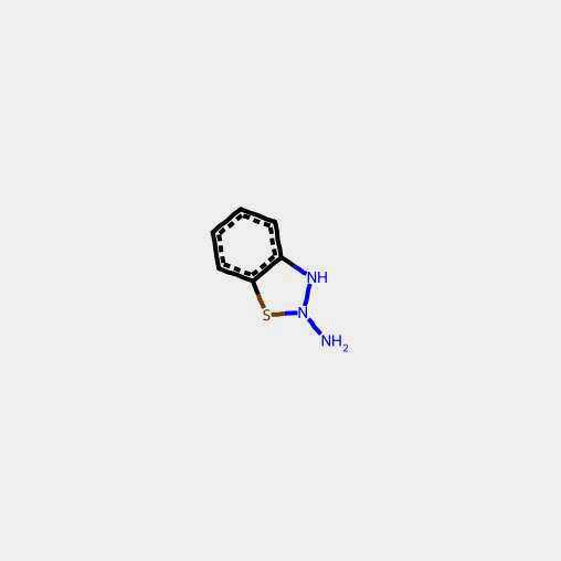 NN1Nc2ccccc2S1